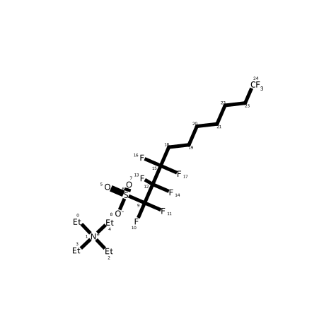 CC[N+](CC)(CC)CC.O=S(=O)([O-])C(F)(F)C(F)(F)C(F)(F)CCCCCCC(F)(F)F